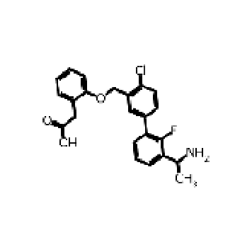 CC(N)c1cccc(-c2ccc(Cl)c(COc3ccccc3CC(=O)O)c2)c1F